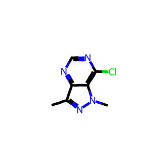 Cc1nn(C)c2c(Cl)ncnc12